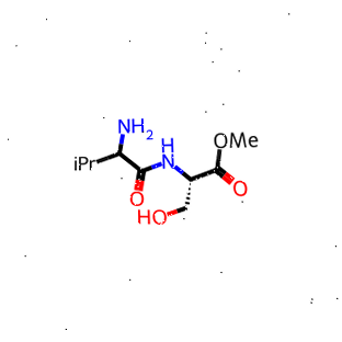 COC(=O)[C@H](CO)NC(=O)C(N)C(C)C